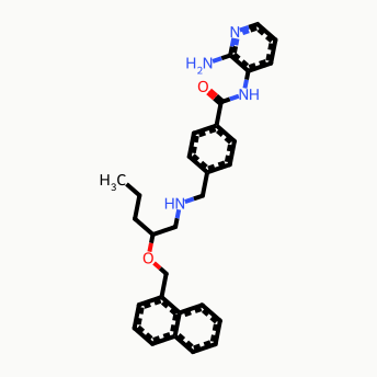 CCCC(CNCc1ccc(C(=O)Nc2cccnc2N)cc1)OCc1cccc2ccccc12